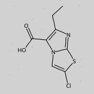 CCc1nc2sc(Cl)cn2c1C(=O)O